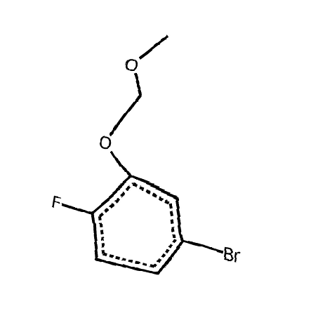 COCOc1cc(Br)ccc1F